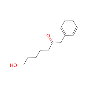 O=C(CCCCCO)Cc1ccccc1